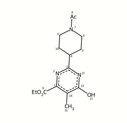 CCOC(=O)c1nc(C2CCN(C(C)=O)CC2)nc(O)c1C